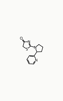 O=C1CSC(N2CCCC2c2ccccn2)=N1